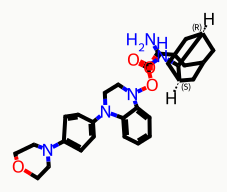 NC(=O)C12CC3C[C@H](C1)C(NC(=O)ON1CCN(c4ccc(N5CCOCC5)cc4)c4ccccc41)[C@@H](C3)C2